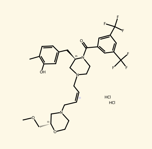 COC[C@@H]1CN(C/C=C\CN2CCN(C(=O)c3cc(C(F)(F)F)cc(C(F)(F)F)c3)[C@H](Cc3ccc(C)c(O)c3)C2)CCO1.Cl.Cl